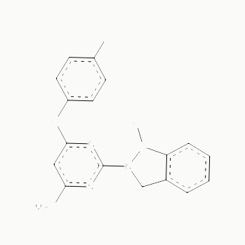 COc1cc(Oc2ccc(F)cc2)nc(N2Cc3ccccc3[S+]2[O-])n1